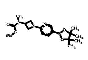 CN(C(=O)OC(C)(C)C)C1CN(c2ccc(B3OC(C)(C)C(C)(C)O3)cn2)C1